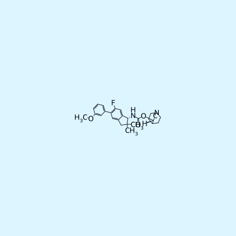 COc1cccc(-c2cc3c(cc2F)[C@H](NC(=O)O[C@@H]2CN4CCC2CC4)C(C)(C)C3)c1